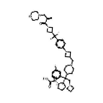 C=C(CN1CCOCC1)C(=O)N1CC(C(F)(F)c2ccc(N3CC(CN4CCC(C(CN5CCC5)(c5cccc(F)c5)[C@H]5CCC[C@@H]5NC(=O)O)CC4)C3)cc2)C1